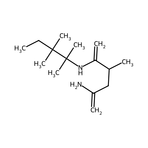 C=C(N)CC(C)C(=C)NC(C)(C)C(C)(C)CC